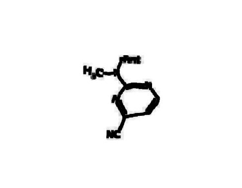 CCCCCN(C)c1nccc(C#N)n1